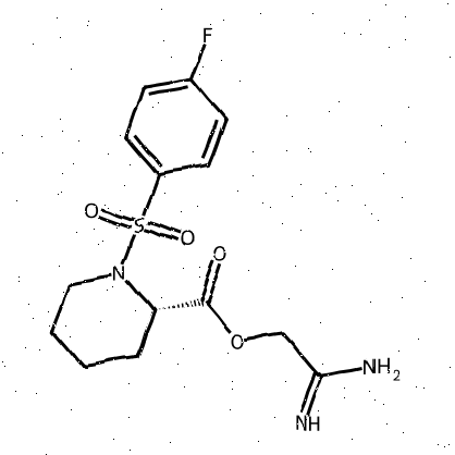 N=C(N)COC(=O)[C@@H]1CCCCN1S(=O)(=O)c1ccc(F)cc1